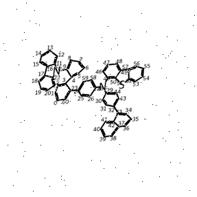 c1ccc(-c2ccccc2-n2c3ccccc3c3ccccc32)c(-c2ccc(N(c3ccc(-c4cccc5ccccc45)cc3)c3cccc4c3sc3ccccc34)cc2)c1